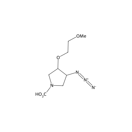 COCCOC1CN(C(=O)O)CC1N=[N+]=[N-]